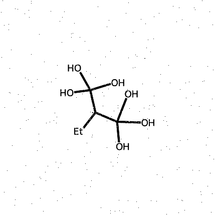 CC[C](C(O)(O)O)C(O)(O)O